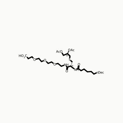 CCCCCCCCCCCCCCCC(=O)N[C@@H](CSC[C@@H](COC(C)=O)OC(C)=O)C(=O)NCCOCCOCCOCCC(=O)O